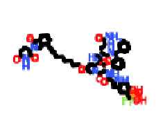 CCCC[C@H](NC(=O)c1cc2cc(C(F)(F)P(=O)(O)O)ccc2[nH]1)C(=O)N1C[C@@H](OCCCCCCC#Cc2cccc3c2CN(C2CCC(=O)NC2=O)C3=O)C[C@H]1C(=O)N[C@@H](CCC(N)=O)C(=O)NC(c1ccccc1)c1ccccc1